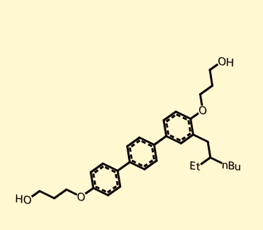 CCCCC(CC)Cc1cc(-c2ccc(-c3ccc(OCCCO)cc3)cc2)ccc1OCCCO